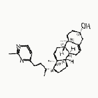 Cc1nccc(CCC(C)[C@H]2CC[C@H]3[C@@H]4CC=C5C[C@@H](O)CC[C@]5(C)[C@H]4CC[C@]23C)n1